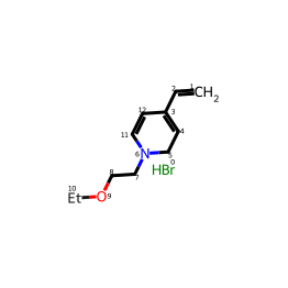 Br.C=CC1=CCN(CCOCC)C=C1